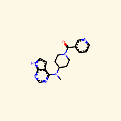 CN(c1ncnc2[nH]ccc12)C1CCN(C(=O)c2cccnc2)CC1